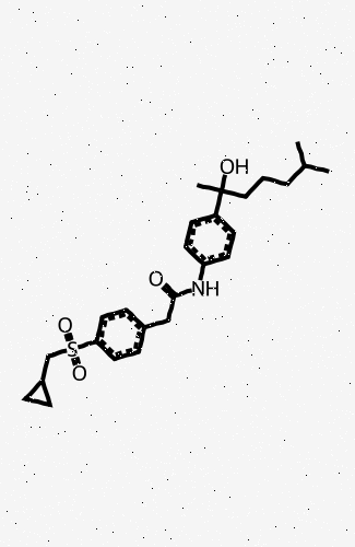 CC(C)CCCC(C)(O)c1ccc(NC(=O)Cc2ccc(S(=O)(=O)CC3CC3)cc2)cc1